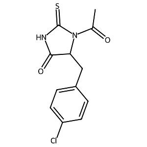 CC(=O)N1C(=S)NC(=O)C1Cc1ccc(Cl)cc1